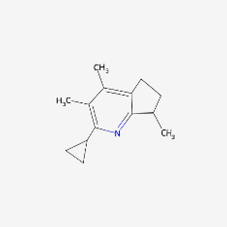 Cc1c(C2CC2)nc2c(c1C)CCC2C